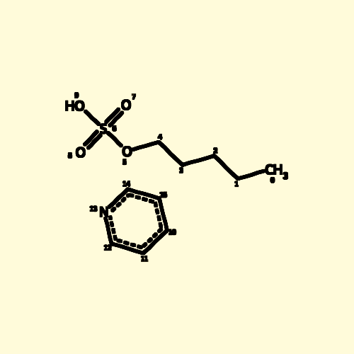 CCCCCOS(=O)(=O)O.c1ccncc1